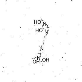 CC(O)CN(CC(C)O)CC(C)(C)C=NCCCCCCN=CC(C)(C)CN(CC(C)O)CC(C)O